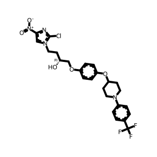 O=[N+]([O-])c1cn(CC[C@@H](O)COc2ccc(OC3CCN(c4ccc(C(F)(F)F)cc4)CC3)cc2)c(Cl)n1